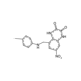 [CH2]c1ccc(NCc2cc([N+](=O)[O-])cc3[nH]c(=O)c(=O)[nH]c23)cc1